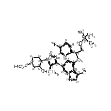 Cc1c(-c2cc(OC(CO[Si](C)(C)C(C)(C)C)c3ccc(F)cn3)c3c(Cl)cnn3c2)nnn1[C@@H]1CCN(C(=O)O)C[C@@H]1O